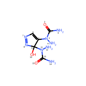 NC(=O)N(N)C1=CN=NC1(O)N(N)C(N)=O